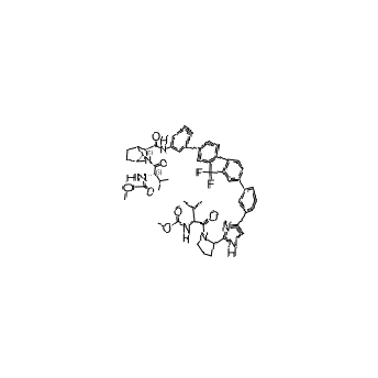 COC(=O)NC(C(=O)N1CCCC1c1nc(-c2cccc(-c3ccc4c(c3)C(F)(F)c3cc(-c5cccc(NC(=O)[C@@H]6C7CCC(C7)N6C(=O)[C@@H](NC(=O)OC)C(C)C)c5)ccc3-4)c2)c[nH]1)C(C)C